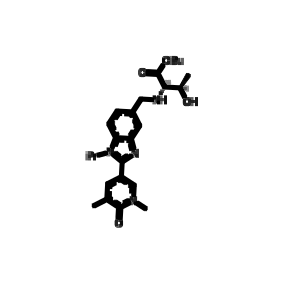 Cc1cc(-c2nc3cc(CN[C@H](C(=O)OCC(C)C)[C@@H](C)O)ccc3n2C(C)C)cn(C)c1=O